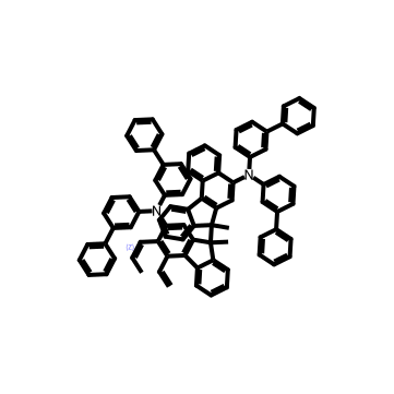 C=Cc1c(/C=C\C)c(N(c2cccc(-c3ccccc3)c2)c2cccc(-c3ccccc3)c2)cc2c1-c1ccccc1C2(C)C1(C)c2ccccc2-c2c1cc(N(c1cccc(-c3ccccc3)c1)c1cccc(-c3ccccc3)c1)c1ccccc21